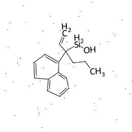 C=CC(CCC)([SiH2]O)c1cccc2ccccc12